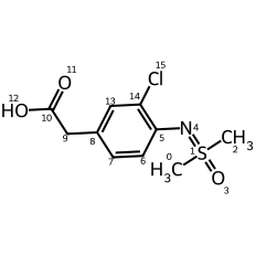 CS(C)(=O)=Nc1ccc(CC(=O)O)cc1Cl